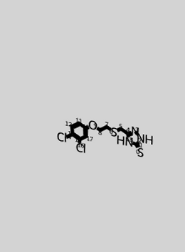 S=c1[nH]nc(CSCCOc2ccc(Cl)c(Cl)c2)[nH]1